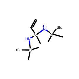 C=C[Si](C)(N[Si](C)(C)C(C)(C)C)N[Si](C)(C)C(C)(C)C